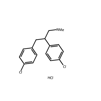 CNCC(Cc1ccc(Cl)cc1)c1ccc(Cl)cc1.Cl